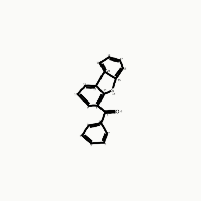 O=C(c1ccccc1)c1cccc2c1sc1ccccc12